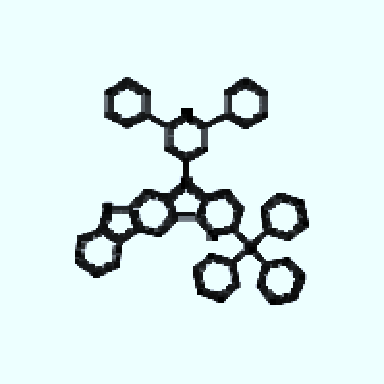 c1ccc(-c2cc(-n3c4cc5sc6ccccc6c5cc4c4nc([Si](c5ccccc5)(c5ccccc5)c5ccccc5)ccc43)cc(-c3ccccc3)n2)cc1